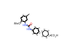 COc1ccc(C)cc1NC(=O)Nc1ccc([C@H]2CC[C@@H](C(=O)O)CC2)cc1